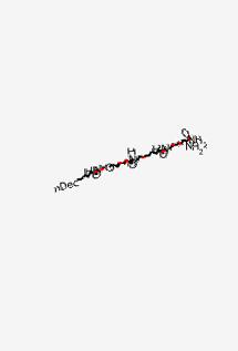 CCCCCCCCCCCCCCCC(=O)NCCOCCCCCC(=O)NCCCCCCCCC(=O)NCCCCCCC(N)C(N)=O